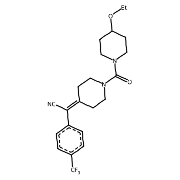 CCOC1CCN(C(=O)N2CCC(=C(C#N)c3ccc(C(F)(F)F)cc3)CC2)CC1